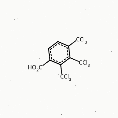 O=C(O)c1ccc(C(Cl)(Cl)Cl)c(C(Cl)(Cl)Cl)c1C(Cl)(Cl)Cl